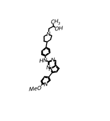 COc1ccc(-c2ccc3cnc(Nc4ccc(C5CCN(CC(C)O)CC5)cc4)nn23)cn1